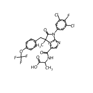 CC(NC(=O)c1cnc2n1C(C)(Cc1ccc(OC(F)(F)F)cc1)C(=O)N2c1cc(Cl)c(F)c(Cl)c1)C(=O)O